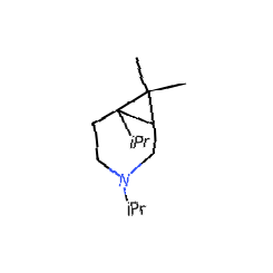 CC(C)N1CCC2(C(C)C)C(C1)C2(C)C